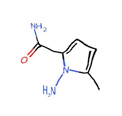 Cc1ccc(C(N)=O)n1N